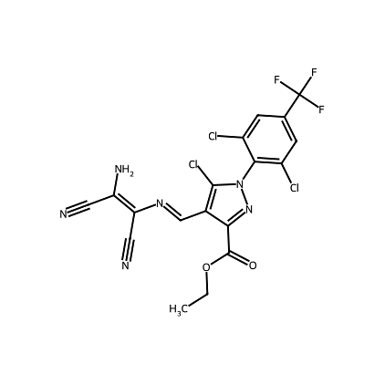 CCOC(=O)c1nn(-c2c(Cl)cc(C(F)(F)F)cc2Cl)c(Cl)c1C=NC(C#N)=C(N)C#N